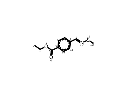 CCOC(=O)c1ccc(/C=N/SI)cc1